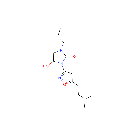 CCCN1CC(O)N(c2cc(CCC(C)C)on2)C1=O